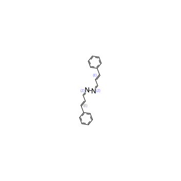 C(/C=C/c1ccccc1)=N/N=C\C=C\c1ccccc1